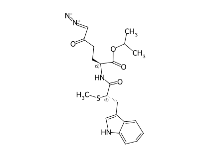 CS[C@@H](Cc1c[nH]c2ccccc12)C(=O)N[C@@H](CCC(=O)C=[N+]=[N-])C(=O)OC(C)C